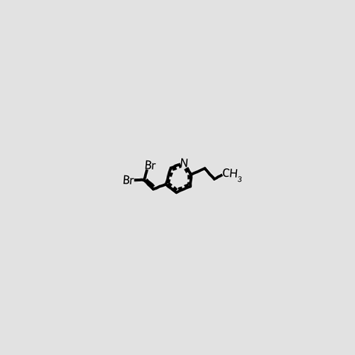 CCCc1ccc(C=C(Br)Br)cn1